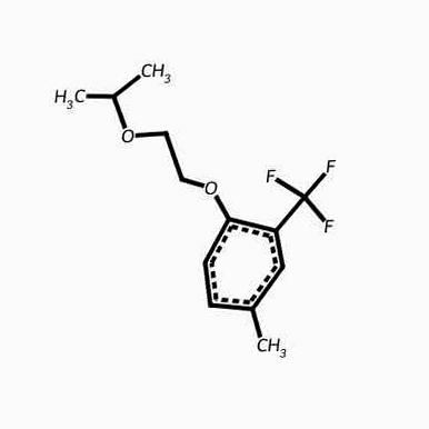 Cc1ccc(OCCOC(C)C)c(C(F)(F)F)c1